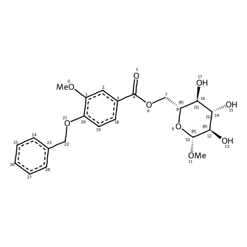 COc1cc(C(=O)OC[C@H]2O[C@@H](OC)[C@H](O)[C@@H](O)[C@@H]2O)ccc1OCc1ccccc1